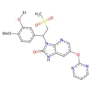 CCOc1cc(C(CS(C)(=O)=O)n2c(=O)[nH]c3cc(Oc4ncccn4)cnc32)ccc1OC